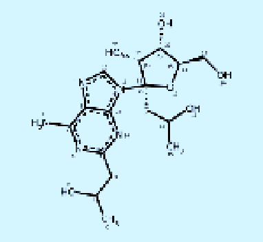 CC(O)Cc1nc(N)c2ncn([C@]3(CC(C)O)O[C@H](CO)[C@@H](O)[C@H]3O)c2n1